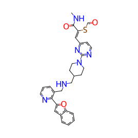 CNC(=O)/C(=C/c1ccnc(N2CCC(CNCc3cccnc3-c3cc4ccccc4o3)CC2)n1)SC=O